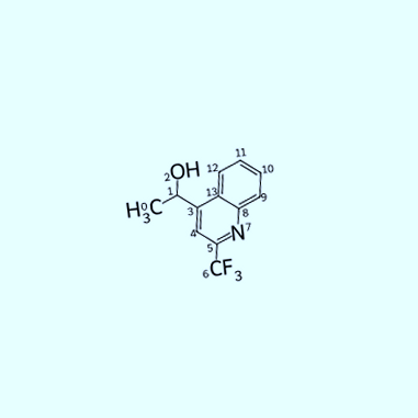 CC(O)c1cc(C(F)(F)F)nc2ccccc12